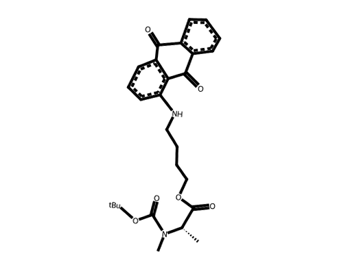 C[C@@H](C(=O)OCCCCNc1cccc2c1C(=O)c1ccccc1C2=O)N(C)C(=O)OC(C)(C)C